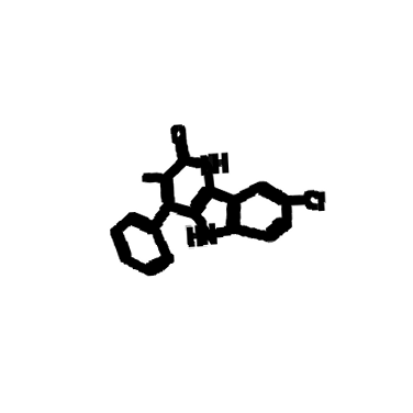 Cc1c(-c2ccccc2)c2[nH]c3ccc(Cl)cc3c2[nH]c1=O